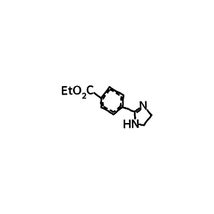 CCOC(=O)c1ccc(C2=NCCN2)cc1